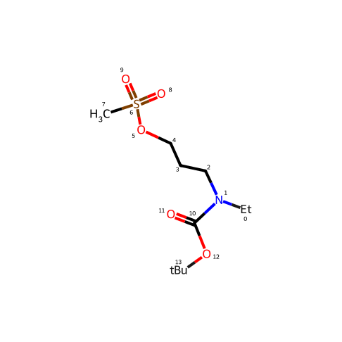 CCN(CCCOS(C)(=O)=O)C(=O)OC(C)(C)C